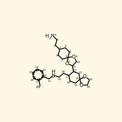 NCCC1CCC2(CC1)OCC(C1CC3(CCC1CCNCc1ccccc1F)OCCO3)O2